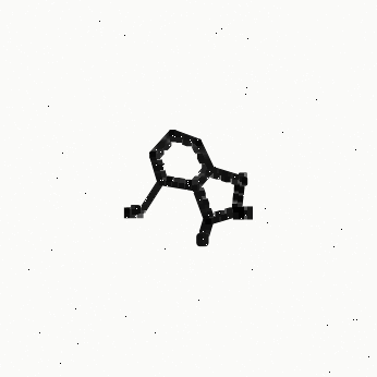 CCCc1cccc2s[nH]c(=O)c12